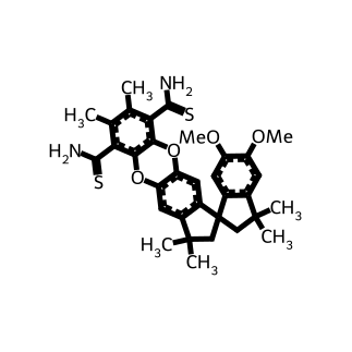 COc1cc2c(cc1OC)C1(CC2(C)C)CC(C)(C)c2cc3c(cc21)Oc1c(c(C(N)=S)c(C)c(C)c1C(N)=S)O3